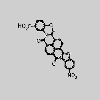 O=C(O)c1ccc(Cl)c(N2C(=O)c3ccc4c(=O)n5c6cc([N+](=O)[O-])ccc6nc5c5ccc(c3c45)C2=O)c1